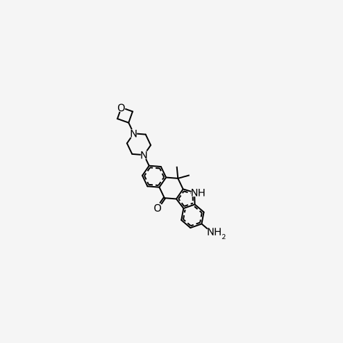 CC1(C)c2cc(N3CCN(C4COC4)CC3)ccc2C(=O)c2c1[nH]c1cc(N)ccc21